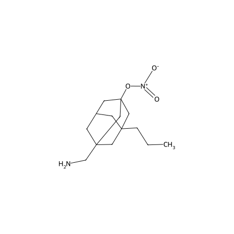 CCCC12CC3CC(CN)(C1)CC(O[N+](=O)[O-])(C3)C2